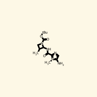 CC1CN(C(=O)OC(C)(C)C)C1NC(=O)c1ncc(N)n1C